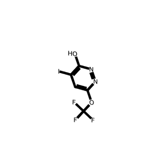 Oc1nnc(OC(F)(F)F)cc1I